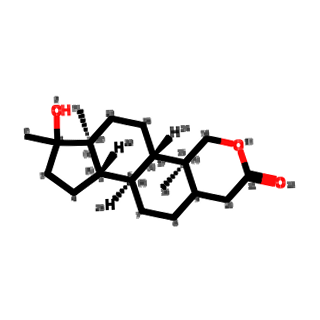 CC1(O)CC[C@H]2[C@@H]3CCC4CC(=O)OC[C@]4(C)[C@H]3CC[C@@]21C